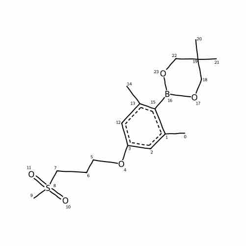 Cc1cc(OCCCS(C)(=O)=O)cc(C)c1B1OCC(C)(C)CO1